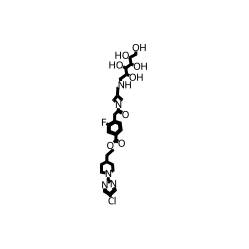 O=C(OCCC1CCN(c2ncc(Cl)cn2)CC1)c1ccc(CC(=O)N2CC(CNCC(O)C(O)C(O)C(O)CO)C2)c(F)c1